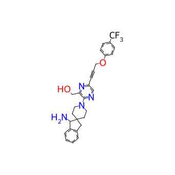 NC1c2ccccc2CC12CCN(c1ncc(C#CCOc3ccc(C(F)(F)F)cc3)nc1CO)CC2